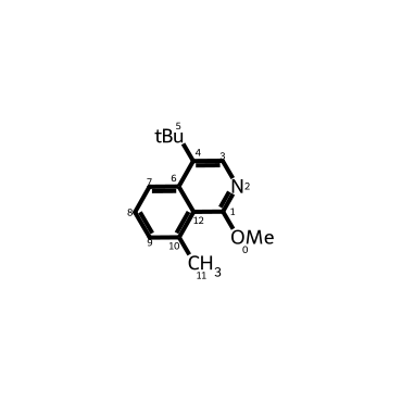 COc1ncc(C(C)(C)C)c2cccc(C)c12